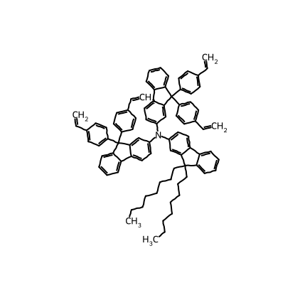 C=Cc1ccc(C2(c3ccc(C=C)cc3)c3ccccc3-c3ccc(N(c4ccc5c(c4)C(CCCCCCCC)(CCCCCCCC)c4ccccc4-5)c4ccc5c(c4)C(c4ccc(C=C)cc4)(c4ccc(C=C)cc4)c4ccccc4-5)cc32)cc1